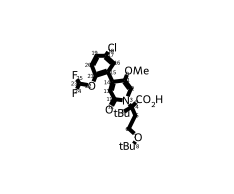 COc1cn(C(CCOC(C)(C)C)(C(=O)O)C(C)(C)C)c(=O)cc1-c1cc(Cl)ccc1OC(F)F